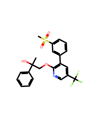 CC(O)(COc1ncc(C(F)(F)F)cc1-c1cccc(S(C)(=O)=O)c1)c1ccccc1